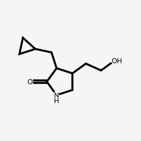 O=C1NCC(CCO)C1CC1CC1